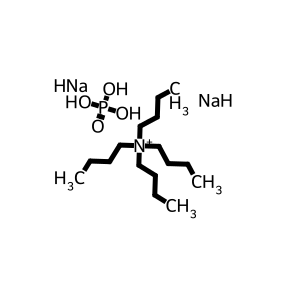 CCCC[N+](CCCC)(CCCC)CCCC.O=P(O)(O)O.[NaH].[NaH]